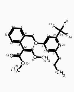 CCCc1nc(OCc2ccccc2C(=COC)C(=O)OC)cc(C(F)(F)F)n1